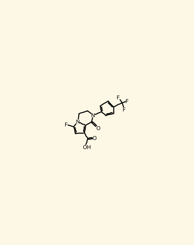 O=C(O)c1cc(F)n2c1C(=O)N(c1ccc(C(F)(F)F)cc1)CC2